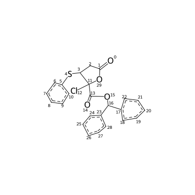 O=C1CC(Sc2ccccc2)C(Cl)(C(=O)OC(c2ccccc2)c2ccccc2)O1